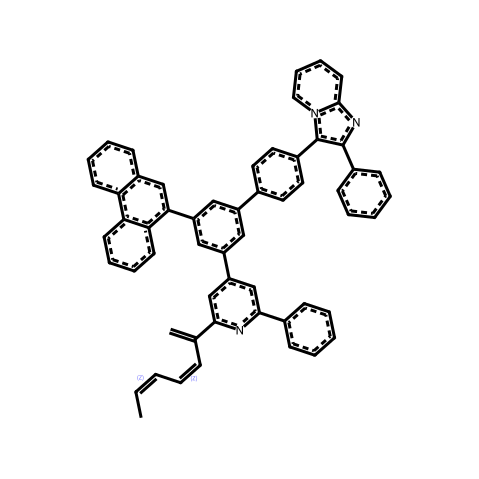 C=C(/C=C\C=C/C)c1cc(-c2cc(-c3ccc(-c4c(-c5ccccc5)nc5ccccn45)cc3)cc(-c3cc4ccccc4c4ccccc34)c2)cc(-c2ccccc2)n1